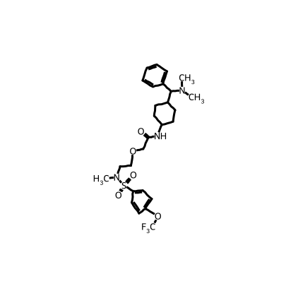 CN(C)C(c1ccccc1)C1CCC(NC(=O)COCCN(C)S(=O)(=O)c2ccc(OC(F)(F)F)cc2)CC1